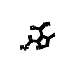 CNc1[nH]cc(I)c1C(=N)Cl